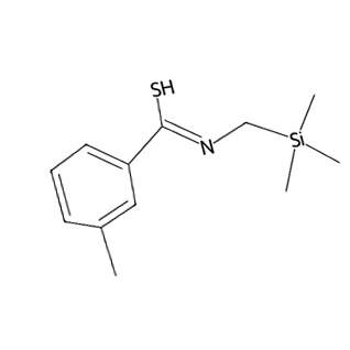 Cc1cccc(C(S)=NC[Si](C)(C)C)c1